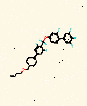 C=CCCOCC1CCC(c2cc(F)c(C(F)(F)Oc3ccc(-c4cc(F)c(F)c(F)c4)c(F)c3)c(F)c2)CC1